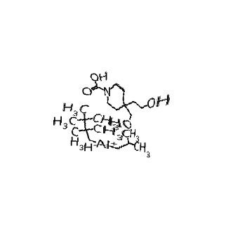 CC(C)[CH2][Al+][CH2]C(C)(C)C(C)(C)C.O=C(O)N1CCC(CO)(CCO)CC1.[H-]